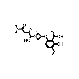 CCc1ccc(OC2CN(C(O)C(N)CC(=O)N(C)C)C2)c(C(=O)O)c1O